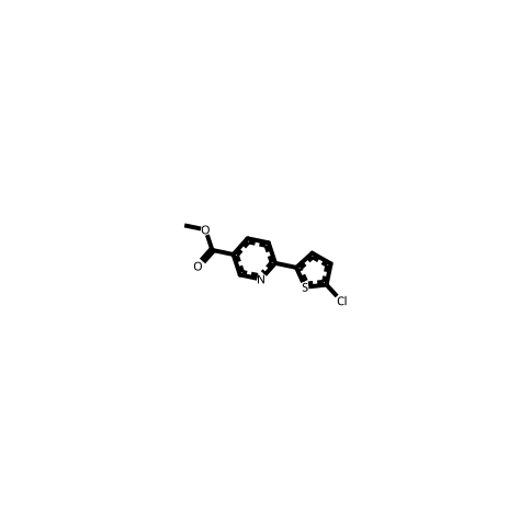 COC(=O)c1ccc(-c2ccc(Cl)s2)nc1